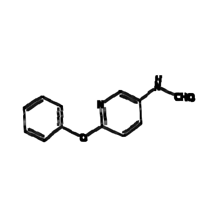 O=CNc1ccc(Oc2ccccc2)nc1